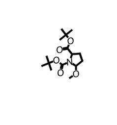 COC1CCC(C(=O)OC(C)(C)C)N1C(=O)OC(C)(C)C